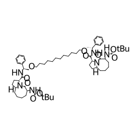 CC(C)(C)OC(=O)N[C@H]1CCCC[C@H]2CC[C@@H](C(=O)N[C@H](COCCCCCCCCCCCCOC[C@@H](NC(=O)[C@@H]3CC[C@@H]4CCCC[C@H](NC(=O)OC(C)(C)C)C(=O)N43)c3ccccc3)c3ccccc3)N2C1=O